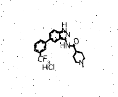 CN1CCC(C(=O)Nc2n[nH]c3ccc(-c4cccc(C(F)(F)F)c4)cc23)CC1.Cl